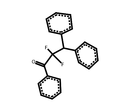 O=C(c1ccccc1)C(F)(F)C(c1ccccc1)c1ccccc1